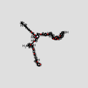 CC(C)[C@H](NC(=O)[C@@H](CCCCNC(=O)COC1CCCC(N(C)CCCCC(=O)Nc2ccc(COC(=O)N[C@@H](CO)C(=O)Nc3ccc4c(c3)[C@@]3(C)CCC[C@](C)(C(=O)NC(=O)[C@@]5(C)CCC[C@]6(C)c7cc(O)ccc7CC[C@@H]56)[C@@H]3CC4)cc2)C/C(NCCOCCOCCOCCOCCC(=O)NCC[N+](C)(C)C)=C\1N=N)NC(=O)CCOCCOCCOCCOCCNC(=O)COC1C#CCCCCC1)C(N)=O